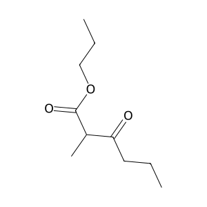 CCCOC(=O)C(C)C(=O)CCC